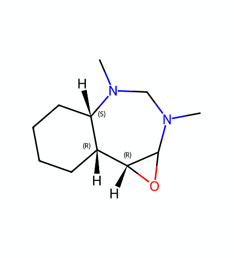 CN1CN(C)[C@H]2CCCC[C@H]2[C@H]2OC21